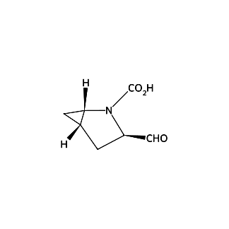 O=C[C@H]1C[C@@H]2C[C@@H]2N1C(=O)O